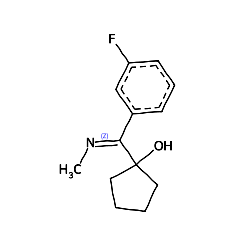 C/N=C(/c1cccc(F)c1)C1(O)CCCC1